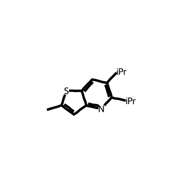 Cc1cc2nc(C(C)C)c(C(C)C)cc2s1